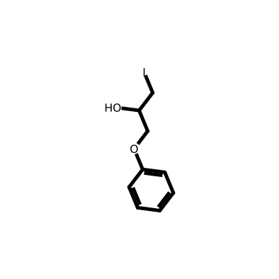 OC(CI)COc1ccccc1